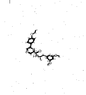 CCOc1ccc(-c2cncc(C(=O)N[C@H](C)Cc3cc(OC)cc(OC)c3)n2)cc1